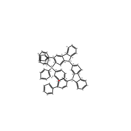 c1ccc(-c2ccc(-n3c4ccccc4c4ccc(-n5c6ccccc6c6cc(-c7ccccc7)c([Si](c7ccccc7)(c7ccccc7)c7ccccc7)cc65)cc43)cc2)cc1